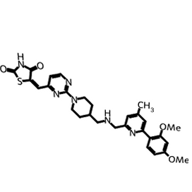 COc1ccc(-c2cc(C)cc(CNCC3CCN(c4nccc(C=C5SC(=O)NC5=O)n4)CC3)n2)c(OC)c1